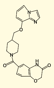 O=C1COc2ccc(C(=O)N3CCC(COc4cccn5ccnc45)CC3)cc2N1